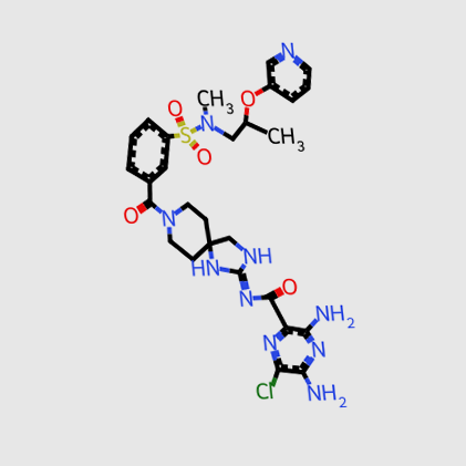 CC(CN(C)S(=O)(=O)c1cccc(C(=O)N2CCC3(CC2)CN/C(=N\C(=O)c2nc(Cl)c(N)nc2N)N3)c1)Oc1cccnc1